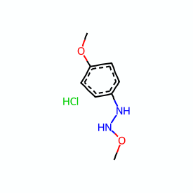 CONNc1ccc(OC)cc1.Cl